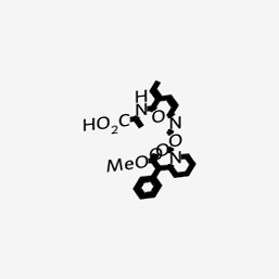 C\C=C(/C=C\C=N\COC(=O)N1CCCCC1C(C(=O)OC)c1ccccc1)C(=O)NC(C)C(=O)O